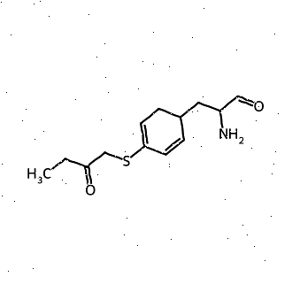 CCC(=O)CSC1=CCC(CC(N)C=O)C=C1